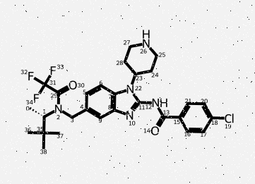 C[C@H](N(Cc1ccc2c(c1)nc(NC(=O)c1ccc(Cl)cc1)n2C1CCNCC1)C(=O)C(F)(F)F)C(C)(C)C